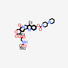 CCc1c2c(nc3ccc(OC(=O)N4CCC(N5CCCCC5)CC4)cc13)-c1cc3c(c(=O)n1C2)COC(=O)C3(CC)OC(=O)CNC(=O)OC(C)(C)C